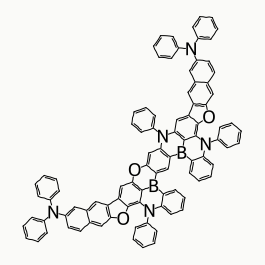 c1ccc(N(c2ccccc2)c2ccc3cc4oc5c6c7c(cc5c4cc3c2)Oc2cc3c(cc2B7c2ccccc2N6c2ccccc2)B2c4ccccc4N(c4ccccc4)c4c2c(cc2c4oc4cc5ccc(N(c6ccccc6)c6ccccc6)cc5cc42)N3c2ccccc2)cc1